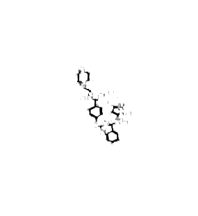 Cc1cc(Nc2nc(Sc3ccc(C(=O)NCCN4CCOCC4)cc3)nc3ccccc23)[nH]n1